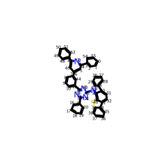 c1ccc(-c2cc(-c3cccc(-c4nc(-c5ccccc5)nc(-n5c6ccccc6c6ccc7c8ccccc8sc7c65)n4)c3)cc(-c3ccccc3)n2)cc1